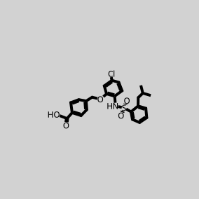 CC(C)Cc1ccccc1S(=O)(=O)Nc1ccc(Cl)cc1OCc1ccc(C(=O)O)cc1